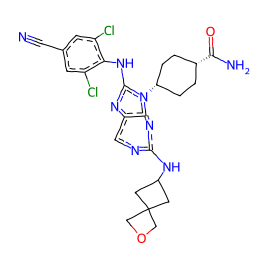 N#Cc1cc(Cl)c(Nc2nc3cnc(NC4CC5(COC5)C4)nc3n2[C@H]2CC[C@@H](C(N)=O)CC2)c(Cl)c1